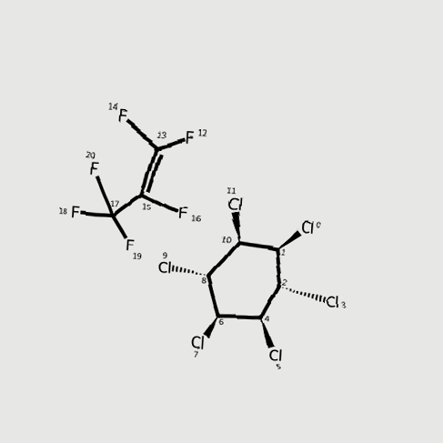 Cl[C@H]1[C@H](Cl)[C@@H](Cl)[C@@H](Cl)[C@H](Cl)[C@H]1Cl.FC(F)=C(F)C(F)(F)F